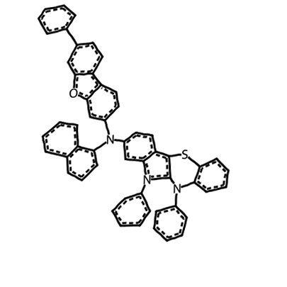 c1ccc(-c2ccc3c(c2)oc2cc(N(c4ccc5c6c(n(-c7ccccc7)c5c4)N(c4ccccc4)c4ccccc4S6)c4cccc5ccccc45)ccc23)cc1